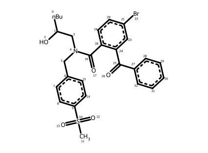 CCCCC(O)CN(Cc1ccc(S(C)(=O)=O)cc1)C(=O)c1ccc(Br)cc1C(=O)c1ccccc1